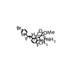 C=C1[C@@](C)(C(=O)OC)SC(N)=N[C@]1(C)c1cc(/C=C(\F)c2ccc(Br)cn2)ccc1F